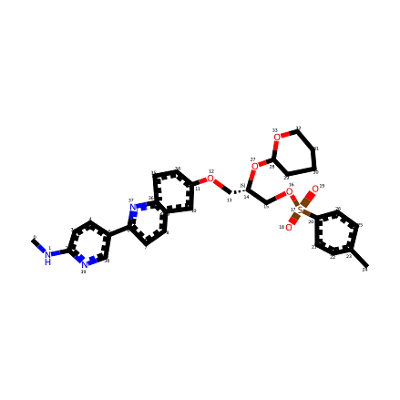 CNc1ccc(-c2ccc3cc(OC[C@@H](COS(=O)(=O)c4ccc(C)cc4)OC4CCCCO4)ccc3n2)cn1